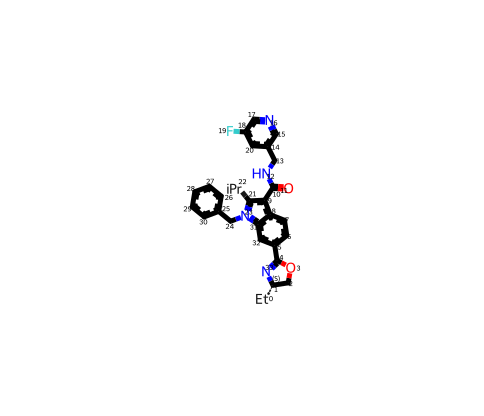 CC[C@H]1COC(c2ccc3c(C(=O)NCc4cncc(F)c4)c(C(C)C)n(Cc4ccccc4)c3c2)=N1